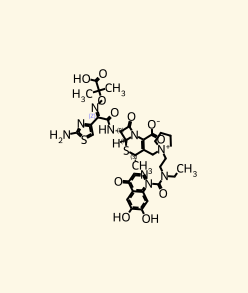 CCN(CC[N+]1(CC2=C(C(=O)[O-])N3C(=O)[C@@H](NC(=O)/C(=N\OC(C)(C)C(=O)O)c4csc(N)n4)[C@H]3S[C@H]2C)CCCC1)C(=O)n1ncc(=O)c2cc(O)c(O)cc21